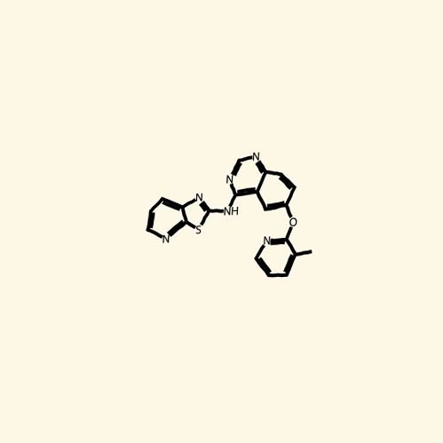 Cc1cccnc1Oc1ccc2ncnc(Nc3nc4cccnc4s3)c2c1